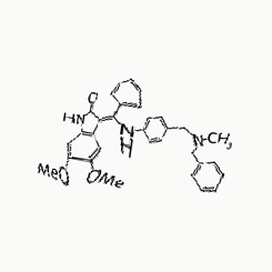 COc1cc2c(cc1OC)C(=C(Nc1ccc(CN(C)Cc3ccccc3)cc1)c1ccccc1)C(=O)N2